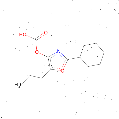 CCCc1oc(C2CCCCC2)nc1OC(=O)O